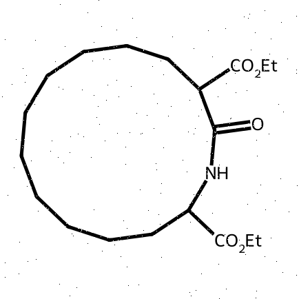 CCOC(=O)C1CCCCCCCCCCC(C(=O)OCC)C(=O)N1